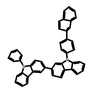 c1ccc(-n2c3ccccc3c3cc(-c4ccc5c6ccccc6n(-c6ccc(-c7ccc8ccccc8c7)cc6)c5c4)ccc32)cc1